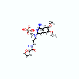 COc1cc2cc(N(C)CCCNC(=O)C3CCCO3)nc(N)c2cc1OC.O=S(=O)(O)O